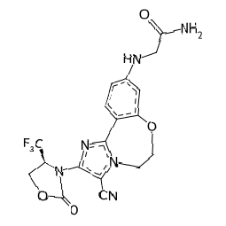 N#Cc1c(N2C(=O)OC[C@H]2C(F)(F)F)nc2n1CCOc1cc(NCC(N)=O)ccc1-2